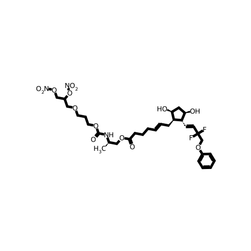 C[C@@H](COC(=O)CCCC=CC[C@@H]1[C@@H](C=CC(F)(F)COc2ccccc2)[C@H](O)C[C@@H]1O)NC(=O)OCCCOCC(CO[N+](=O)[O-])O[N+](=O)[O-]